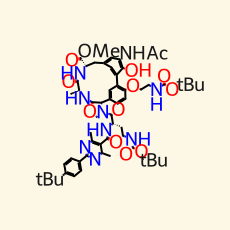 COC(=O)[C@@H]1Cc2cc(NC(C)=O)c(O)c(c2)-c2cc(ccc2OCCNC(=O)OC(C)(C)C)[C@H](N(C)C(=O)[C@H](CCNC(=O)OC(C)(C)C)NC(=O)c2c(C)nc(-c3ccc(C(C)(C)C)cc3)nc2C)C(=O)N[C@@H](C)C(=O)N1